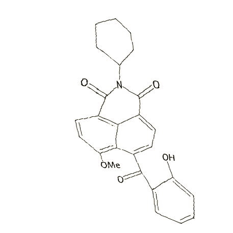 COc1ccc2c3c(ccc(C(=O)c4ccccc4O)c13)C(=O)N(C1CCCCC1)C2=O